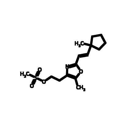 Cc1oc(C=CC2(C)CCCC2)nc1CCOS(C)(=O)=O